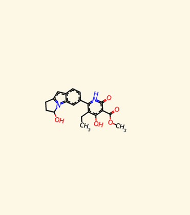 CCc1c(-c2ccc3cc4n(c3c2)C(O)CC4)[nH]c(=O)c(C(=O)OC)c1O